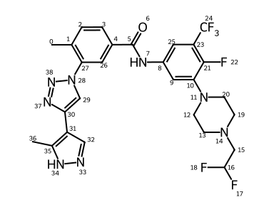 Cc1ccc(C(=O)Nc2cc(N3CCN(CC(F)F)CC3)c(F)c(C(F)(F)F)c2)cc1-n1cc(-c2cn[nH]c2C)nn1